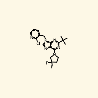 CC(C)(C)c1nc(N2CCC(F)(F)C2)c2ncn(Cc3cccnc3Cl)c2n1